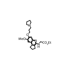 CCOC(=O)CNc1nc2cc(OCCCN3CCCC3)c(OC)cc2c2c1CCC2